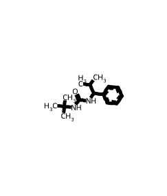 CC(C)C(NC(=O)NC(C)(C)C)c1ccccc1